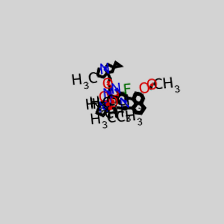 COCOc1cc(-c2ncc3c(N4C[C@H]5CC[C@@H](C4)N5C(=O)O)nc(OCC45CC(C)CN4CC4(CC4)C5)nc3c2F)c2c(C#C[Si](C(C)C)(C(C)C)C(C)C)cccc2c1